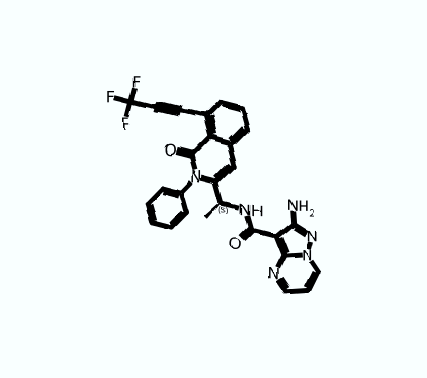 C[C@H](NC(=O)c1c(N)nn2cccnc12)c1cc2cccc(C#CC(F)(F)F)c2c(=O)n1-c1ccccc1